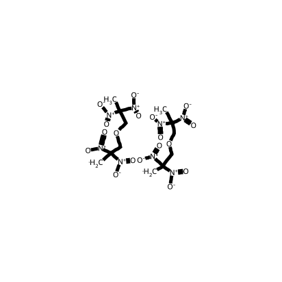 [CH2]C(COCC(C)([N+](=O)[O-])[N+](=O)[O-])([N+](=O)[O-])[N+](=O)[O-].[CH2]C(COCC(C)([N+](=O)[O-])[N+](=O)[O-])([N+](=O)[O-])[N+](=O)[O-]